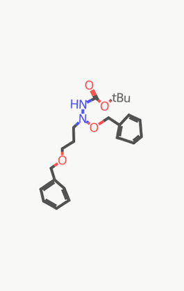 CC(C)(C)OC(=O)NN(CCCOCc1ccccc1)OCc1ccccc1